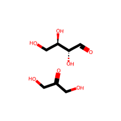 O=C(CO)CO.O=C[C@H](O)[C@H](O)CO